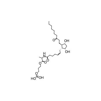 CCCCCCCC(=O)CC[C@@H]1[C@@H](C/C=C\CCCC(=O)NC(C)C(=O)OCCCON(O)O)[C@@H](O)C[C@H]1O